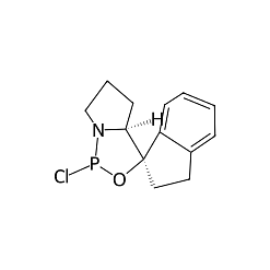 ClP1O[C@@]2(CCc3ccccc32)[C@@H]2CCCN21